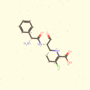 N[C@@H](C(=O)N[C@H](C=O)[C@H]1CCC(Cl)=C(C(=O)O)N1)c1ccccc1